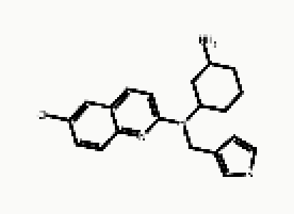 NC1CCCC(N(Cc2ccsc2)c2ccc3cc(Cl)ccc3n2)C1